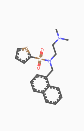 CN(C)CCN(Cc1cccc2ccccc12)S(=O)(=O)c1cccs1